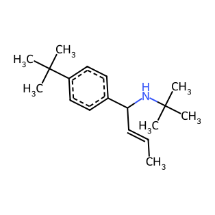 C/C=C/C(NC(C)(C)C)c1ccc(C(C)(C)C)cc1